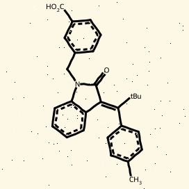 Cc1ccc(/C(=C2/C(=O)N(Cc3cccc(C(=O)O)c3)c3ccccc32)C(C)(C)C)cc1